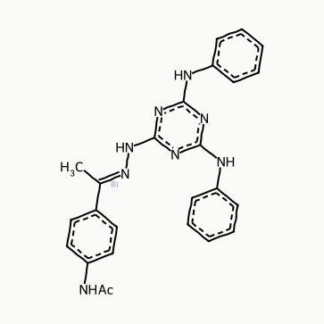 CC(=O)Nc1ccc(/C(C)=N/Nc2nc(Nc3ccccc3)nc(Nc3ccccc3)n2)cc1